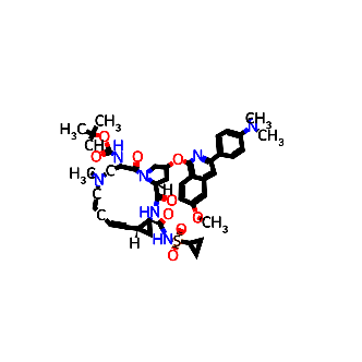 COc1ccc2c(OC3C[C@H]4C(=O)N[C@]5(C(=O)NS(=O)(=O)C6CC6)C[C@H]5/C=C\CCCN(C)C[C@H](NC(=O)OC(C)(C)C)C(=O)N4C3)nc(-c3ccc(N(C)C)cc3)cc2c1